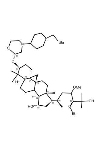 CCO[C@@H](C(C[C@@H](C)[C@H]1C[C@H](O)[C@@]2(C)C3CC[C@H]4C(C)(C)[C@@H](O[C@H]5CN(C6CCN(CC(C)(C)C)CC6)CCO5)CC[C@@]45C[C@@]35CC[C@]12C)OC)C(C)(C)O